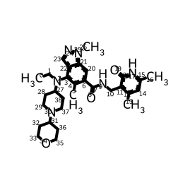 CCN(c1c(C)c(C(=O)NCc2c(C)cc(C)[nH]c2=O)cc2c1cnn2C)C1CCN(C2CCOCC2)CC1